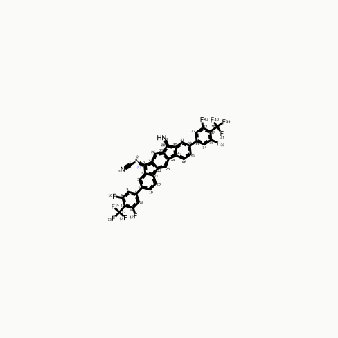 N#C/N=c1\c2cc(-c3cc(F)c(C(F)(F)F)c(F)c3)ccc2c2cc3c(cc12)c(=N)c1cc(-c2cc(F)c(C(F)(F)F)c(F)c2)ccc13